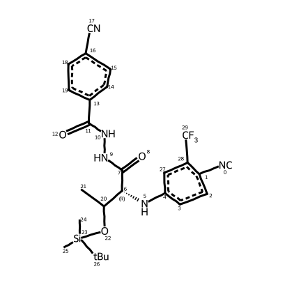 [C-]#[N+]c1ccc(N[C@@H](C(=O)NNC(=O)c2ccc(C#N)cc2)C(C)O[Si](C)(C)C(C)(C)C)cc1C(F)(F)F